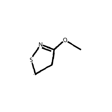 COC1=NS[CH]C1